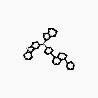 c1ccc(-c2cccc3c(-c4ccc(N(c5ccc6ccccc6c5)c5ccc6oc7ccccc7c6c5)cc4)cccc23)cc1